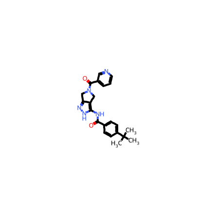 CC(C)(C)c1ccc(C(=O)Nc2[nH]nc3c2CN(C(=O)c2cccnc2)C3)cc1